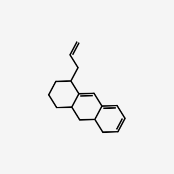 C=CCC1CCCC2CC3CC=CC=C3C=C12